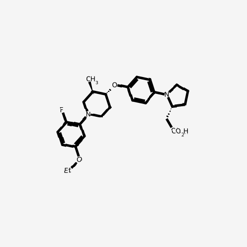 CCOc1ccc(F)c(N2CC[C@@H](Oc3ccc(N4CCC[C@@H]4CC(=O)O)cc3)[C@H](C)C2)c1